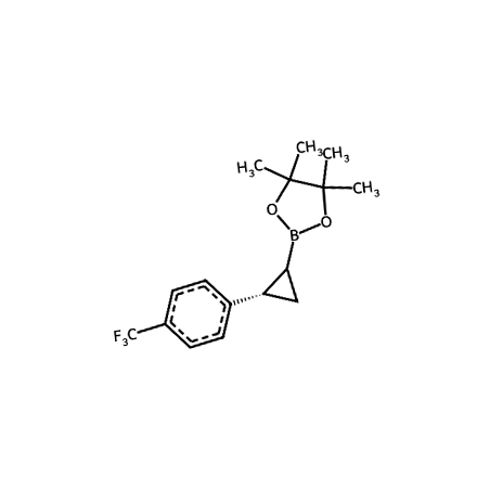 CC1(C)OB(C2C[C@@H]2c2ccc(C(F)(F)F)cc2)OC1(C)C